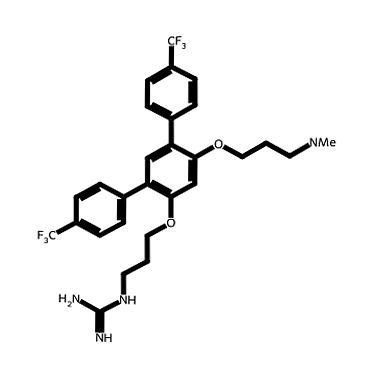 CNCCCOc1cc(OCCCNC(=N)N)c(-c2ccc(C(F)(F)F)cc2)cc1-c1ccc(C(F)(F)F)cc1